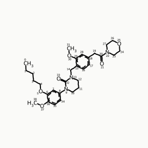 CCCCCOc1cc(N2CCCN(Cc3ccc(CC(=O)N4CCOCC4)cc3OC)C2=O)ccc1OC